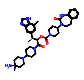 Cc1cc([C@@H](C)C(OC(=O)N2CCC(N3CCc4ccccc4NC3=O)CC2)C(=O)N2CCC(N3CCC(C)(N)CC3)CC2)cc2nc[nH]c12